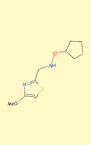 COc1csc(CNOC2CCCC2)n1